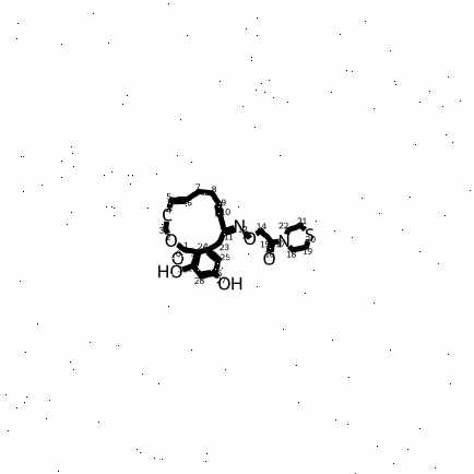 O=C1OCC/C=C/CC/C=C/C(=NOCC(=O)N2CCSCC2)Cc2cc(O)cc(O)c21